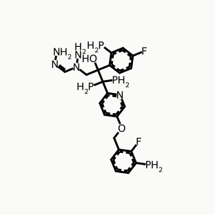 N/N=C\N(N)CC(O)(c1ccc(F)cc1P)C(P)(P)c1ccc(OCc2cccc(P)c2F)cn1